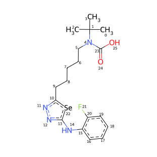 CC(C)(C)N(CCCCCc1nnc(Nc2ccccc2F)[se]1)C(=O)O